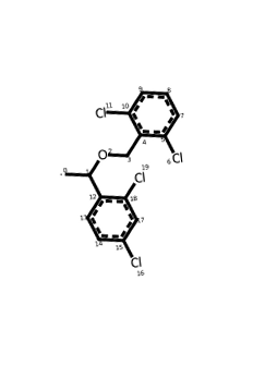 [CH2]C(OCc1c(Cl)cccc1Cl)c1ccc(Cl)cc1Cl